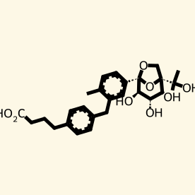 Cc1ccc([C@]23OC[C@](C(C)(C)O)(O2)[C@@H](O)[C@H](O)[C@H]3O)cc1Cc1ccc(CCCC(=O)O)cc1